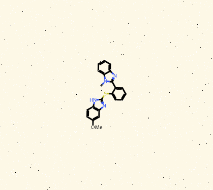 COc1ccc2[nH]c(Sc3ccccc3-c3nc4ccccc4n3C)nc2c1